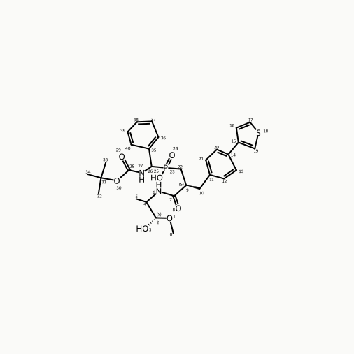 CO[C@H](O)C(C)NC(=O)[C@H](Cc1ccc(-c2ccsc2)cc1)CP(=O)(O)C(NC(=O)OC(C)(C)C)c1ccccc1